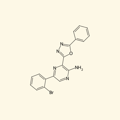 Nc1ncc(-c2ccccc2Br)nc1-c1nnc(-c2ccccc2)o1